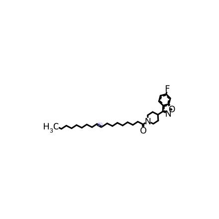 CCCCCCCC/C=C/CCCCCCCC(=O)N1CCC(c2noc3cc(F)ccc23)CC1